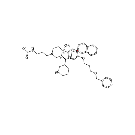 C[N@@+]1(c2ccc(OCCCOCc3ccccc3)cc2)CCN(CCCNC(=O)[O-])C[C@@H]1C(OCc1ccc2ccccc2c1)C1CCCNC1